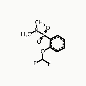 CN(C)S(=O)(=O)c1ccccc1OC(F)F